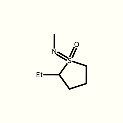 CCC1CCCS1(=O)=NC